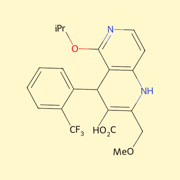 COCC1=C(C(=O)O)C(c2ccccc2C(F)(F)F)c2c(ccnc2OC(C)C)N1